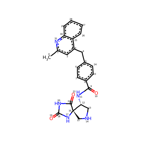 Cc1cc(Cc2ccc(C(=O)N[C@@H]3CNC[C@]34NC(=O)NC4=O)cc2)c2ccccc2n1